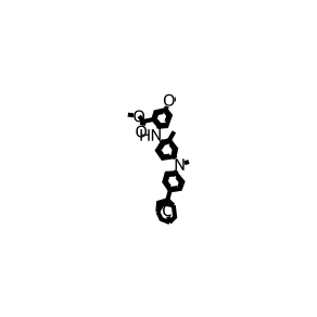 COC(=O)c1cc(OC)ccc1Nc1ccc(N(C)c2ccc(C34CC5CC(CC3C5)C4)cc2)cc1C